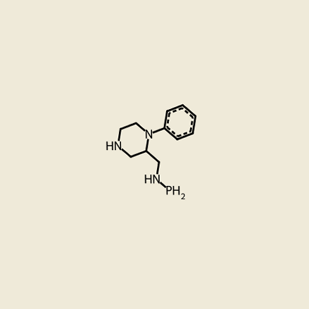 PNCC1CNCCN1c1ccccc1